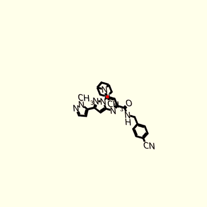 CN1CC2CC(C1)N2c1cc(C(=O)NCc2ccc(C#N)cc2)nc2cc(-c3ccnn3C)nn12